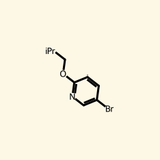 CC(C)COc1[c]cc(Br)cn1